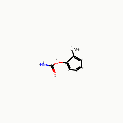 COc1ccccc1OC([NH])=O